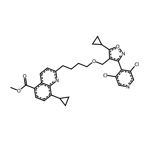 COC(=O)c1ccc(C2CC2)c2nc(CCCCOCc3c(-c4c(Cl)cncc4Cl)noc3C3CC3)ccc12